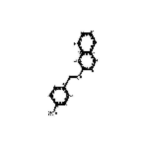 N#Cc1ccc(COc2ccc3ccccc3c2)cc1